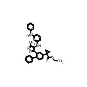 CCOC(=O)C1(c2ccc(-c3ccccc3)c(-c3onc(C)c3Nc3cccc([S+]([O-])c4ccccc4)n3)c2)CC1